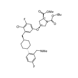 CNCc1cc(F)ccc1[C@H]1CC[C@H](Cc2cc(O[C@H]3C[C@@H](C(=O)OC)N(C(=O)OC(C)(C)C)C3)cc(F)c2Cl)CC1